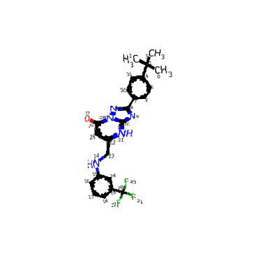 CC(C)(C)c1ccc(-c2nc3[nH]c(CNc4cccc(C(F)(F)F)c4)cc(=O)n3n2)cc1